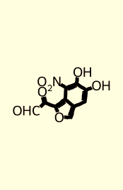 O=CC(=O)c1occ2cc(O)c(O)c([N+](=O)[O-])c12